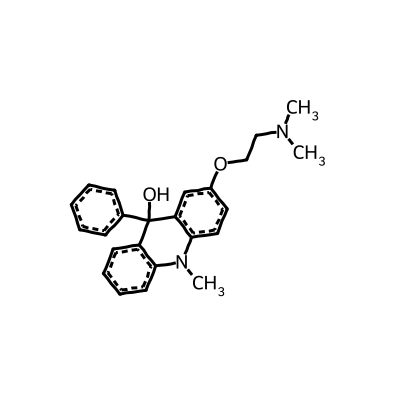 CN(C)CCOc1ccc2c(c1)C(O)(c1ccccc1)c1ccccc1N2C